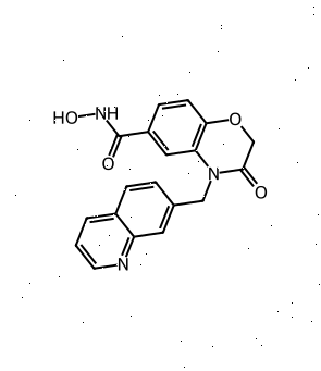 O=C(NO)c1ccc2c(c1)N(Cc1ccc3cccnc3c1)C(=O)CO2